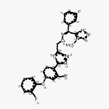 Cn1nnnc1/C(=N\OCc1nnc(-c2ccc(Oc3ccccc3F)cc2Br)o1)c1ccccc1